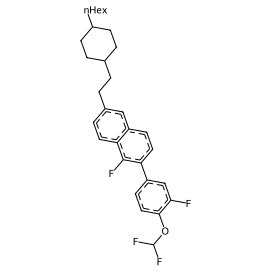 CCCCCCC1CCC(CCc2ccc3c(F)c(-c4ccc(OC(F)F)c(F)c4)ccc3c2)CC1